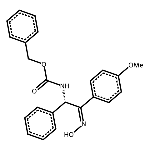 COc1ccc(C(=NO)[C@@H](NC(=O)OCc2ccccc2)c2ccccc2)cc1